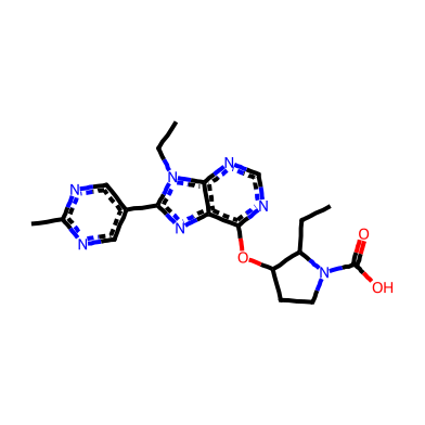 CCC1C(Oc2ncnc3c2nc(-c2cnc(C)nc2)n3CC)CCN1C(=O)O